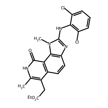 CCOC(=O)Cc1c(C)[nH]c(=O)c2c1ccc1nc(Nc3c(Cl)cccc3Cl)n(C)c12